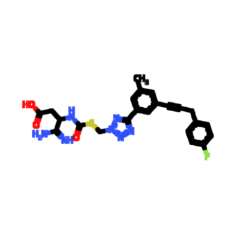 Cc1cc(C#CCc2ccc(F)cc2)cc(-c2nnn(CSC(=O)NC(CC(=O)O)C(=N)N)n2)c1